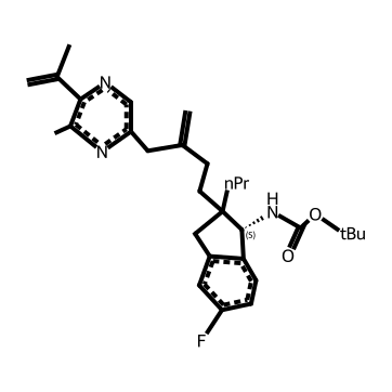 C=C(CCC1(CCC)Cc2cc(F)ccc2[C@H]1NC(=O)OC(C)(C)C)Cc1cnc(C(=C)C)c(C)n1